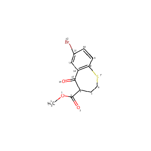 COC(=O)C1CCSc2ccc(Br)cc2C1=O